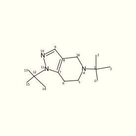 CC(C)(C)N1CCc2c(cnn2C(C)(C)C)C1